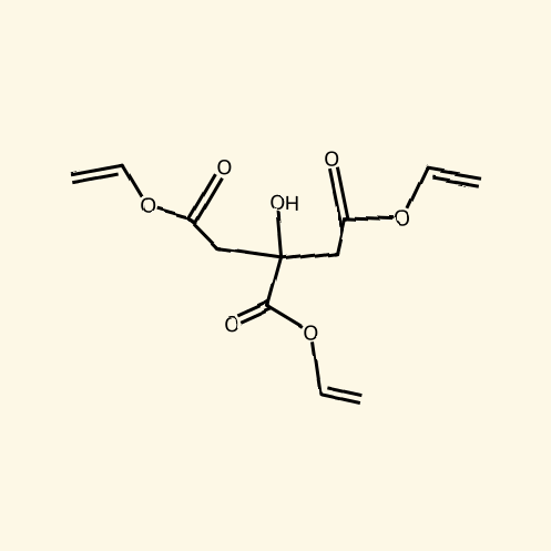 C=COC(=O)CC(O)(CC(=O)OC=C)C(=O)OC=C